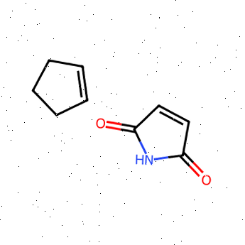 C1=CCCC1.O=C1C=CC(=O)N1